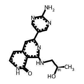 C[C@@H](O)CNc1nc(-c2cnc(N)nc2)cc2cc[nH]c(=O)c12